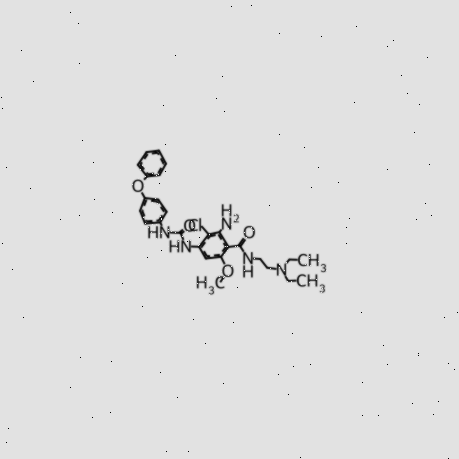 CCN(CC)CCNC(=O)c1c(OC)cc(NC(=O)Nc2ccc(Oc3ccccc3)cc2)c(Cl)c1N